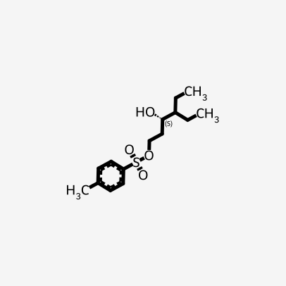 CCC(CC)[C@@H](O)CCOS(=O)(=O)c1ccc(C)cc1